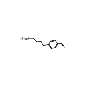 CCCCCCCCCCCc1ccc(C=S)cc1